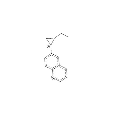 CCC1C[C@H]1c1ccc2ncccc2c1